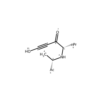 CCC[C@H](N[C@@H](C)C(C)=O)C(=O)C#CO